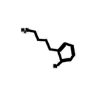 NCCCCc1ccccc1Br